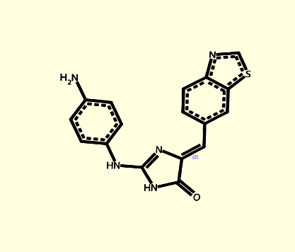 Nc1ccc(NC2=N/C(=C\c3ccc4ncsc4c3)C(=O)N2)cc1